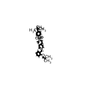 CC(C)COc1ccccc1CN1CCC2(CC1)CCN(S(=O)(=O)c1ccc(C(C)(C)C)cc1)CC2